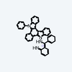 N=C1C=CC=C/C1=C(/Nn1c2ccccc2c2c3c4ccccc4n(-c4ccccc4)c3c3ccccc3c21)C1=CCCC=C1